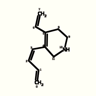 C=C/C=C\C1=C(C=C)CCNC1